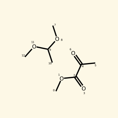 COC(=O)C(C)=O.COC(C)OC